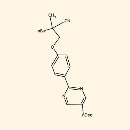 CCCCCCCCCCc1cnc(-c2ccc(OCC(C)(C#N)CCCC)cc2)nc1